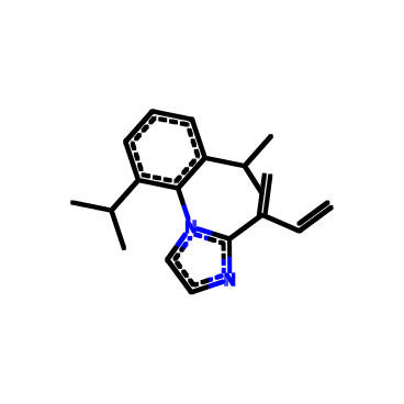 C=CC(=C)c1nccn1-c1c(C(C)C)cccc1C(C)C